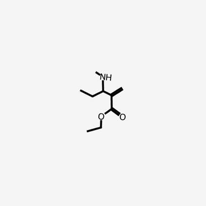 C=C(C(=O)OCC)C(CC)NC